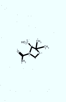 BC(=O)N1CSC(C)(C)[C@@H]1C(=O)O